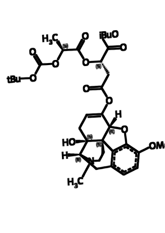 COc1ccc2c3c1O[C@H]1C(OC(=O)C[C@H](OC(=O)[C@H](C)OC(=O)OC(C)(C)C)C(=O)OCC(C)C)=CC[C@@]4(O)[C@@H](C2)N(C)CC[C@]314